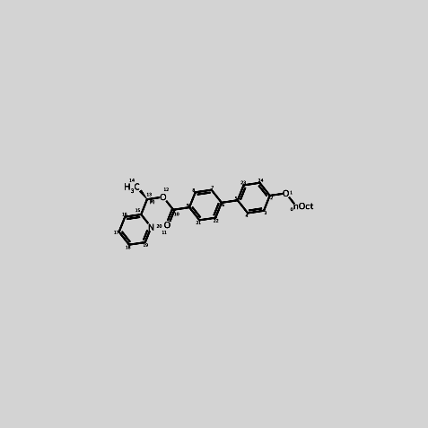 CCCCCCCCOc1ccc(-c2ccc(C(=O)O[C@H](C)c3ccccn3)cc2)cc1